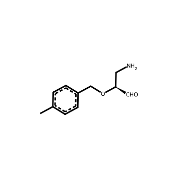 Cc1ccc(CO[C@H](C=O)CN)cc1